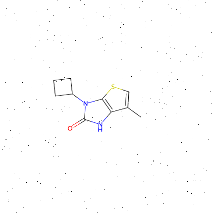 Cc1csc2c1[nH]c(=O)n2C1CCC1